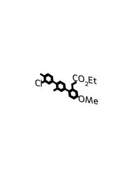 CCOC(=O)CCc1cc(OC)ccc1-c1ccc(-c2ccc(C)c(Cl)c2)c(C)c1